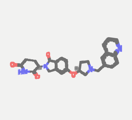 O=C1CC[C@H](N2Cc3cc(O[C@H]4CCN(Cc5ccc6ncccc6c5)C4)ccc3C2=O)C(=O)N1